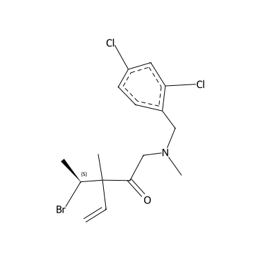 C=CC(C)(C(=O)CN(C)Cc1ccc(Cl)cc1Cl)[C@H](C)Br